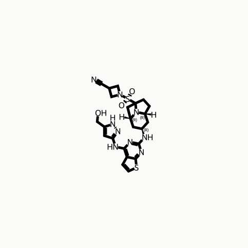 N#CC1CN(S(=O)(=O)C23CC[C@@H]4C[C@@H](Nc5nc(Nc6cc(CO)[nH]n6)c6ccsc6n5)C[C@H](C2)N43)C1